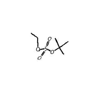 CCOS(=O)(=O)OC(C)(C)C